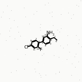 CCc1ccc(-c2ccc(Cl)cc2F)cc1N